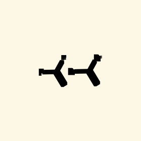 C=C(Br)Br.C=C(F)F